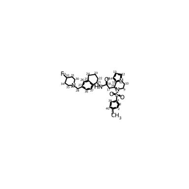 Cc1ccc(S(=O)(=O)N2CCn3cccc3C2CC(=O)N[C@@H]2CCCc3cc(CN4CCC(F)CC4)ccc32)cc1